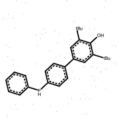 CC(C)(C)c1cc(-c2ccc(Pc3ccccc3)cc2)cc(C(C)(C)C)c1O